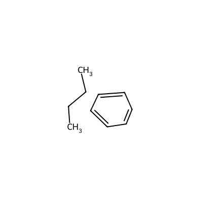 CCCC.c1ccccc1